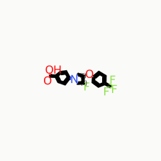 O=C(O)c1ccc(N2C[C@H](Oc3ccc(C(F)(F)F)cc3)[C@@H](F)C2)cc1